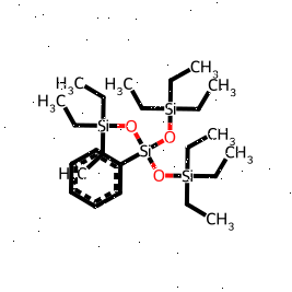 CC[Si](CC)(CC)O[Si](O[Si](CC)(CC)CC)(O[Si](CC)(CC)CC)c1ccccc1